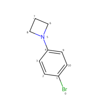 Brc1ccc(N2C[CH]C2)cc1